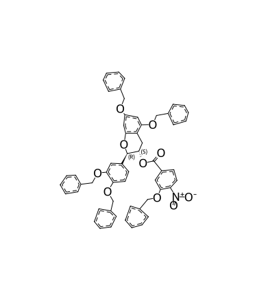 O=C(O[C@H]1Cc2c(OCc3ccccc3)cc(OCc3ccccc3)cc2O[C@@H]1c1ccc(OCc2ccccc2)c(OCc2ccccc2)c1)c1ccc([N+](=O)[O-])c(OCc2ccccc2)c1